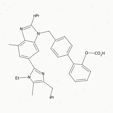 CCCc1nc2c(C)cc(-c3nc(CC(C)C)c(C)n3CC)cc2n1Cc1ccc(-c2ccccc2OC(=O)O)cc1